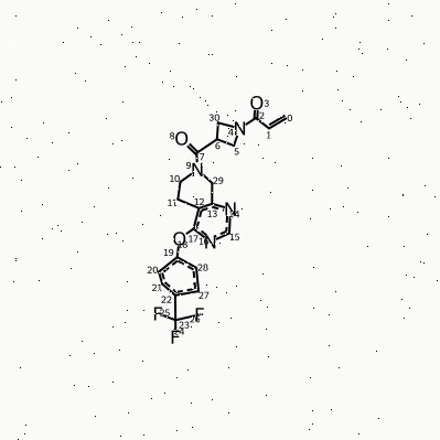 C=CC(=O)N1CC(C(=O)N2CCc3c(ncnc3Oc3ccc(C(F)(F)F)cc3)C2)C1